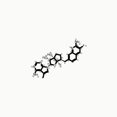 Cc1cn([C@@H]2O[C@@H]3[C@H](Cc4ccc5cc(F)c(N)nc5c4)CC[C@]3(O)[C@H]2O)c2ncnc(N)c12